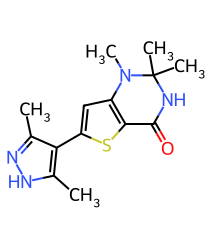 Cc1n[nH]c(C)c1-c1cc2c(s1)C(=O)NC(C)(C)N2C